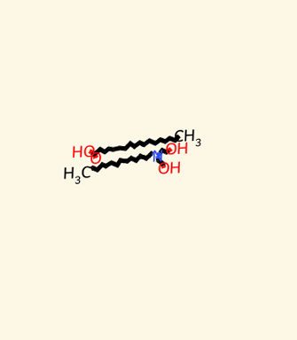 CCCCCCCCCCCCCCCCCC(=O)O.CCCCCCCCCCCCCCN(CCO)CCO